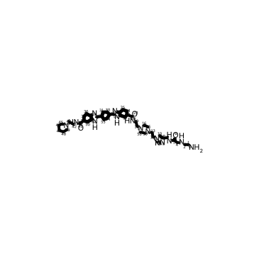 NCCNCC(=O)NCc1cn(CCN2CCN(CCNC(=O)c3ccc4nc(-c5ccc(-c6nc7ccc(C(=O)NCCN8CCCCC8)cc7[nH]6)cc5)[nH]c4c3)CC2)nn1